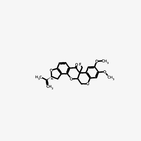 C=C(C)[C@H]1Cc2c(ccc3c2OC2COc4cc(OC)c(OC)cc4C2(CF)C3=O)O1